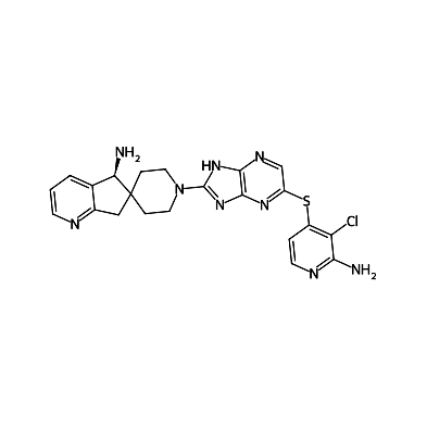 Nc1nccc(Sc2cnc3[nH]c(N4CCC5(CC4)Cc4ncccc4[C@H]5N)nc3n2)c1Cl